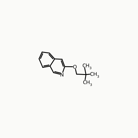 CC(C)(C)COc1cc2ccccc2cn1